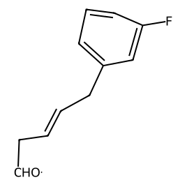 O=[C]CC=CCc1cccc(F)c1